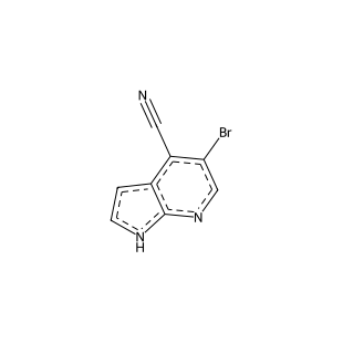 N#Cc1c(Br)cnc2[nH]ccc12